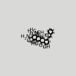 CN(C)[C@@H]1C(O)=C(C(N)=O)C(=O)[C@@]2(O)C(O)=C3C(=O)c4c(O)ccc(-c5cc6ccccc6o5)c4C[C@H]3C[C@@H]12